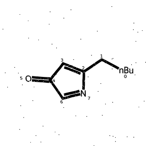 CCCCCC1=CC(=O)C=N1